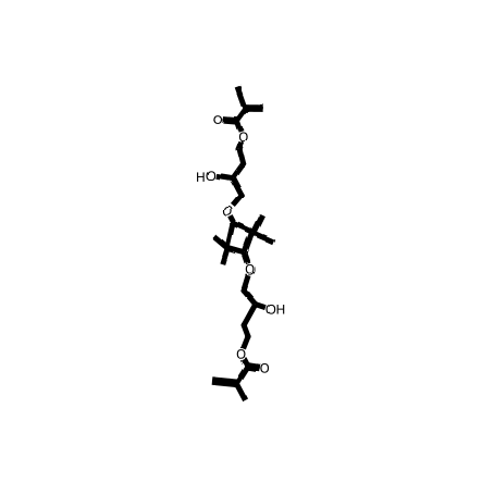 C=C(C)C(=O)OCCC(O)COC1C(C)(C)C(OCC(O)CCOC(=O)C(=C)C)C1(C)C